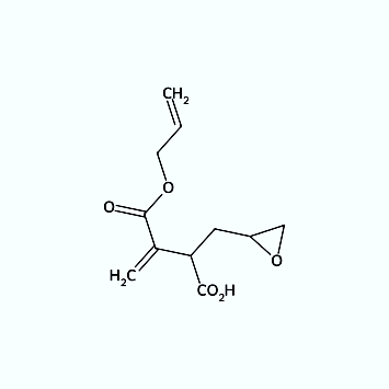 C=CCOC(=O)C(=C)C(CC1CO1)C(=O)O